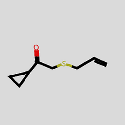 C=CCSCC(=O)C1CC1